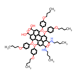 CCCCNC(=O)c1cc(Oc2ccc(OCCCC)cc2)c2c3c(Oc4ccc(OCCCC)cc4)cc(C(=O)O)c4c(C(=O)O)cc(Oc5ccc(OCCCC)cc5)c(c5c(Oc6ccc(OCCCC)cc6)cc(C(=O)NCCCC)c1c25)c43